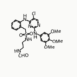 COc1cc(Nc2ncc(Cl)c(Nc3ccccc3CS(=O)(=O)NCCNC=O)n2)cc(OC)c1OC